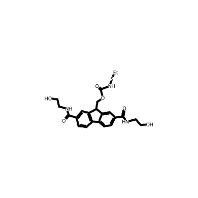 CCSNC(=O)OCC1c2cc(C(=O)NCCO)ccc2-c2ccc(C(=O)NCCO)cc21